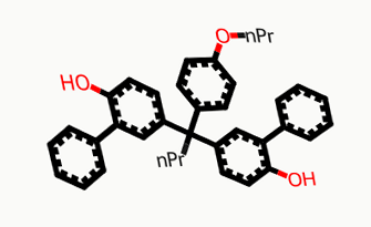 CCCOc1ccc(C(CCC)(c2ccc(O)c(-c3ccccc3)c2)c2ccc(O)c(-c3ccccc3)c2)cc1